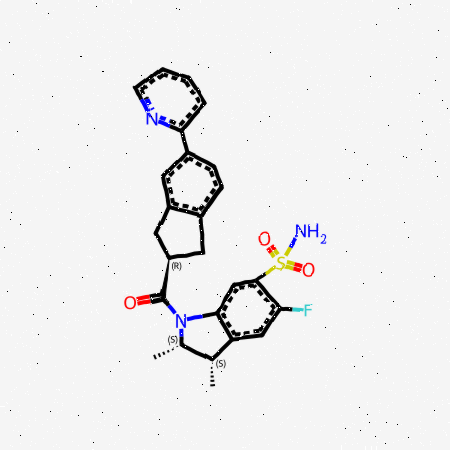 C[C@H]1c2cc(F)c(S(N)(=O)=O)cc2N(C(=O)[C@@H]2Cc3ccc(-c4ccccn4)cc3C2)[C@H]1C